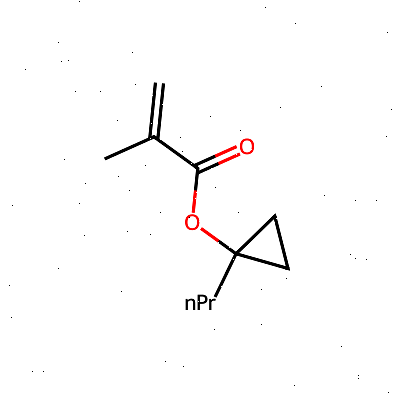 C=C(C)C(=O)OC1(CCC)CC1